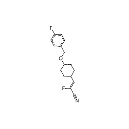 N#CC(F)=CC1CCC(OCc2ccc(F)cc2)CC1